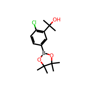 CC(C)(O)c1cc(B2OC(C)(C)C(C)(C)O2)ccc1Cl